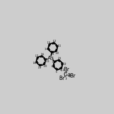 [Br][Ga]([Br])[Br].c1ccc([As](c2ccccc2)c2ccccc2)cc1